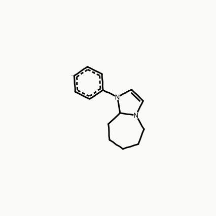 [c]1ccc(N2C=CN3CCCCCC32)cc1